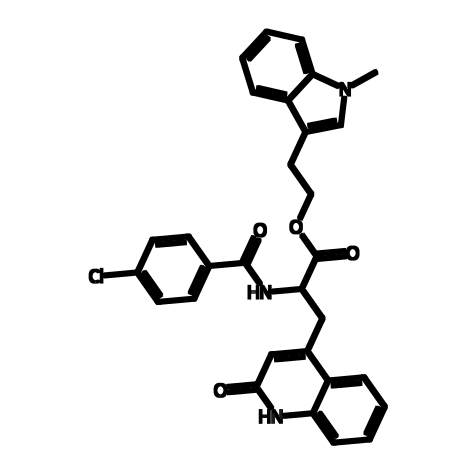 Cn1cc(CCOC(=O)C(Cc2cc(=O)[nH]c3ccccc23)NC(=O)c2ccc(Cl)cc2)c2ccccc21